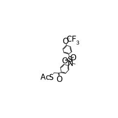 CC(=O)SCC(=O)c1ccc(N(C)S(=O)(=O)c2ccc(OC(F)(F)F)cc2)cc1